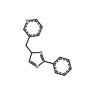 C1=NC(c2ccccc2)=NC1Cc1cccnc1